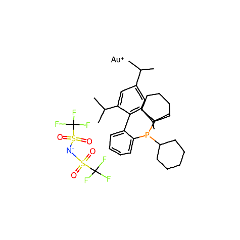 CC(C)c1cc(C(C)C)c(-c2ccccc2P(C2CCCCC2)C2CCCCC2)c(C(C)C)c1.O=S(=O)([N-]S(=O)(=O)C(F)(F)F)C(F)(F)F.[Au+]